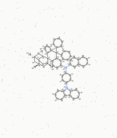 c1ccc2c(c1)-c1ccccc1C21c2ccccc2C2(c3ccc(N(c4ccc(-n5c6ccccc6c6ccccc65)cc4)c4ccc5ccccc5c4)cc31)[C@H]1C[C@H]3C[C@H](C[C@H]2C3)C1